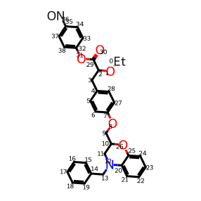 CCOC(Cc1ccc(OCC2CN(Cc3ccccc3)c3ccccc3O2)cc1)C(=O)Oc1ccc(N=O)cc1